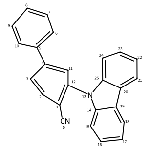 N#Cc1ccc(-c2ccccc2)cc1-n1c2ccccc2c2ccccc21